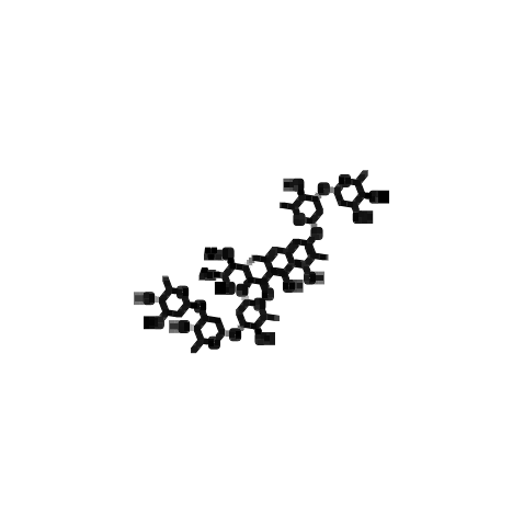 CO[C@@H]([C@@H]1Cc2cc3cc(O[C@H]4C[C@@H](O[C@H]5CC(O)[C@H](O)C(C)O5)[C@H](O)C(C)O4)c(C)c(O)c3c(O)c2C(=O)[C@H]1O[C@H]1C[C@@H](O[C@H]2CC(O[C@H]3CC(O)[C@H](O)C(C)O3)[C@@H](O)C(C)O2)[C@H](O)C(C)O1)[C@@H](O)C(C)=O